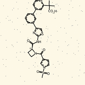 CC(C)(C(=O)O)c1cc(-c2cccc(-c3csc(NC(=O)[C@@H]4CCN4C(=O)c4ccn(S(C)(=O)=O)c4)n3)c2)ccn1